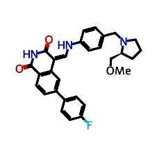 COC[C@@H]1CCCN1Cc1ccc(NC=C2C(=O)NC(=O)c3ccc(-c4ccc(F)cc4)cc32)cc1